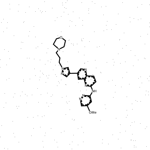 COc1cnnc(Nc2ccc3ncc(-c4cnn(CCCN5CCOCC5)c4)cc3n2)c1